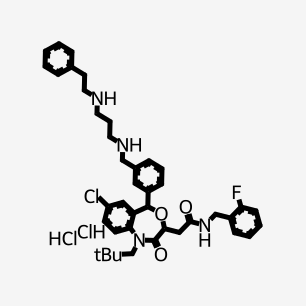 CC(C)(C)CN1C(=O)C(CC(=O)NCc2ccccc2F)OC(c2cccc(CNCCCNCCc3ccccc3)c2)c2cc(Cl)ccc21.Cl.Cl